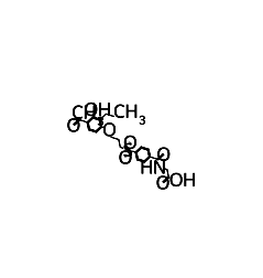 CCCc1c(OCCCS(=O)(=O)c2ccc(C(=O)NCC(=O)O)cc2)ccc(C(C)=O)c1O